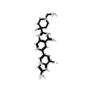 CCN1CCC(F)(c2nc3cnc(-c4cc(F)c5nc(C)cn5c4)cc3c(=O)[nH]2)CC1